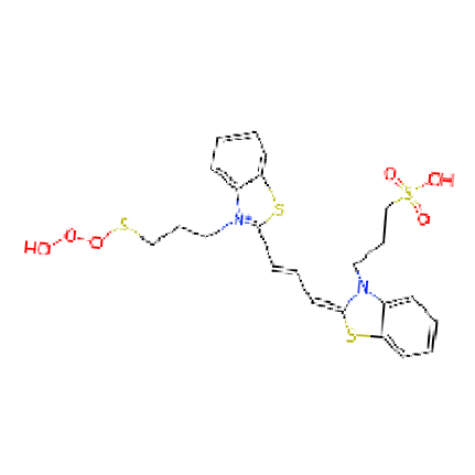 O=S(=O)(O)CCCN1/C(=C\C=C\c2sc3ccccc3[n+]2CCCSOOO)Sc2ccccc21